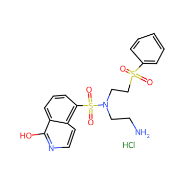 Cl.NCCN(CCS(=O)(=O)c1ccccc1)S(=O)(=O)c1cccc2c(O)nccc12